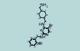 NCC1CCC(CNc2nc(NCc3ccccc3Br)ncc2Br)CC1